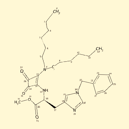 CCCCCCN(CCCCCC)c1c(N[C@@H](Cc2cn(Cc3ccccc3)cn2)C(=O)OC)c(=O)c1=O